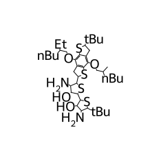 CCCCC(C)COc1c2c(c(OCC(CC)CCCC)c3c1SC(C1SC(C4SC(C(C)(C)C)C(N)C4O)C(O)C1N)C3)SC(C(C)(C)C)C2